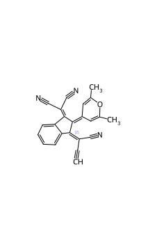 C#C/C(C#N)=C1/C(=C2C=C(C)OC(C)=C2)C(=C(C#N)C#N)c2ccccc21